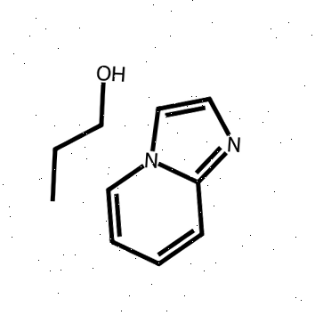 CCCO.c1ccn2ccnc2c1